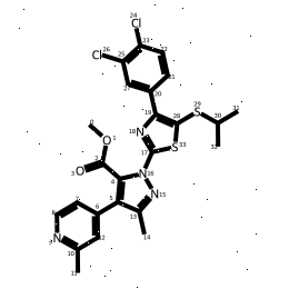 COC(=O)c1c(-c2ccnc(C)c2)c(C)nn1-c1nc(-c2ccc(Cl)c(Cl)c2)c(SC(C)C)s1